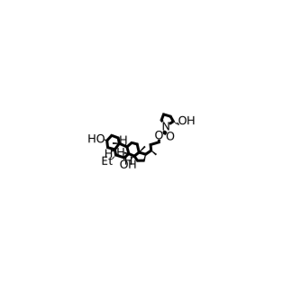 CC[C@H]1[C@@H](O)[C@@H]2[C@H](CC[C@]3(C)[C@@H]([C@H](C)CCOC(=O)N4CCC[C@@H]4CO)CC[C@@H]23)[C@@]2(C)CC[C@@H](O)C[C@@H]12